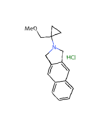 COCC1(N2Cc3cc4ccccc4cc3C2)CC1.Cl